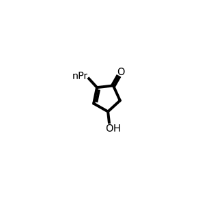 CCCC1=CC(O)CC1=O